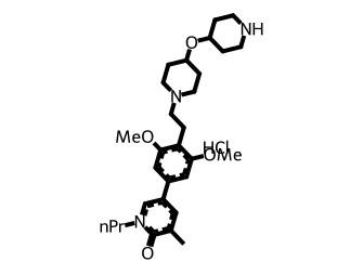 CCCn1cc(-c2cc(OC)c(CCN3CCC(OC4CCNCC4)CC3)c(OC)c2)cc(C)c1=O.Cl